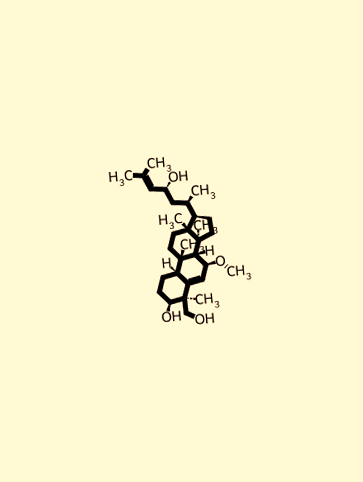 CO[C@H]1C=C2[C@@H](CC[C@H](O)[C@]2(C)CO)[C@]2(C)CC[C@]3(C)[C@@H]([C@H](C)C[C@@H](O)C=C(C)C)CC[C@@]3(C)[C@H]12